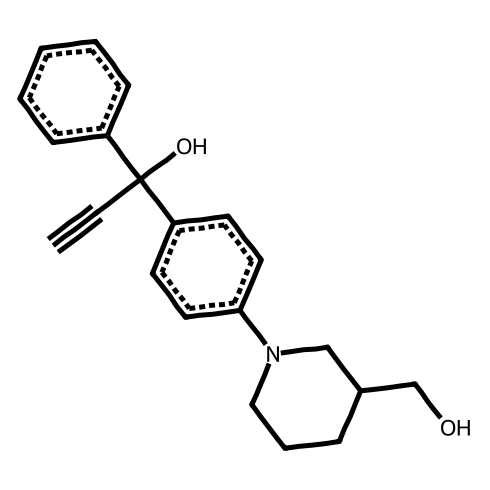 C#CC(O)(c1ccccc1)c1ccc(N2CCCC(CO)C2)cc1